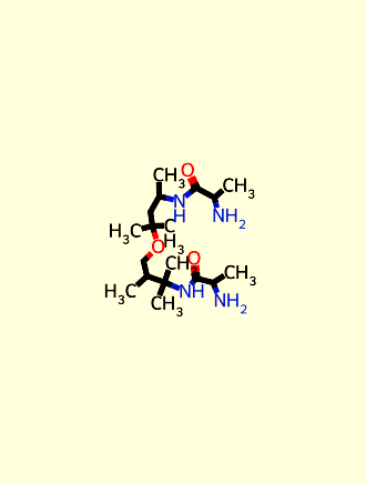 CC(CC(C)(C)OCC(C)C(C)(C)NC(=O)C(C)N)NC(=O)C(C)N